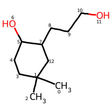 CC1(C)CCC(O)C(CCCO)C1